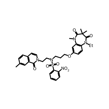 CCN1C(=O)C(C)(C)C(=O)N(C)c2cc(OCCCN(CCn3ccc4ccc(C)cc4c3=O)S(=O)(=O)c3ccccc3[N+](=O)[O-])ccc21